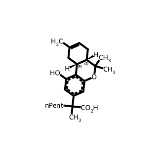 CCCCCC(C)(C(=O)O)c1cc(O)c2c(c1)OC(C)(C)[C@H]1CC=C(C)C[C@@H]21